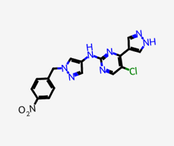 O=[N+]([O-])c1ccc(Cn2cc(Nc3ncc(Cl)c(-c4cn[nH]c4)n3)cn2)cc1